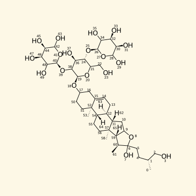 C[C@@H](CO)CCC1(O)OC2C[C@H]3[C@@H]4CC=C5CC(O[C@@H]6OC(CO)[C@@H](O[C@@H]7OC(O)[C@H](O)[C@H](O)C7O)[C@H](O)C6O[C@@H]6OC(O)[C@H](O)[C@H](O)C6O)CC[C@]5(C)[C@H]4CC[C@]3(C)[C@H]2[C@@H]1C